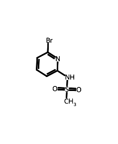 CS(=O)(=O)Nc1cccc(Br)n1